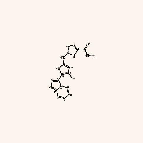 CNC(=O)c1ccc(Nc2nc(C)c(-c3cnc4ccccn34)s2)s1